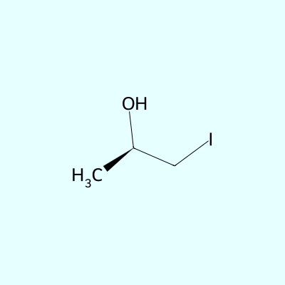 C[C@@H](O)CI